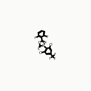 Fc1cccc(F)c1-c1nn(-c2c(Cl)cc(C(F)(F)F)cc2Cl)c(=S)o1